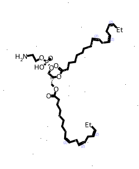 CC/C=C\C/C=C\C/C=C\CCCCCCCC(=O)OC[C@H](COP(=O)(O)OCCN)OC(=O)CCCCCCC/C=C\C/C=C\C/C=C\CC